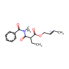 C/C=C/COC(=O)C(CC)C(=O)N(C)C(=O)c1ccccc1